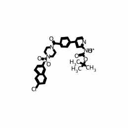 CC(C)(C)OC(=O)[NH+]([O-])c1cc(-c2ccc(C(=O)N3CCN(S(=O)(=O)c4ccc5cc(Cl)ccc5c4)CC3)cc2)ccn1